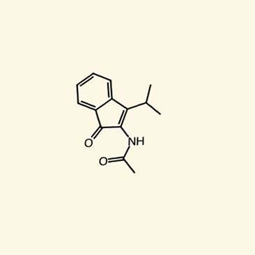 CC(=O)NC1=C(C(C)C)c2ccccc2C1=O